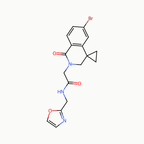 O=C(CN1CC2(CC2)c2cc(Br)ccc2C1=O)NCc1ncco1